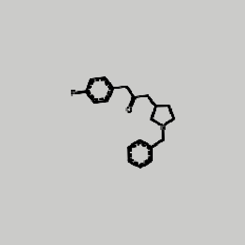 O=C(Cc1ccc(F)cc1)CC1CCN(Cc2ccccc2)C1